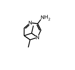 CC1C2C=NC(N)=CN1C2C